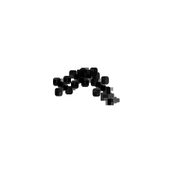 O.O.O.O=S(=O)([O-])[O-].O=S(=O)([O-])[O-].O=S(=O)([O-])[O-].[In+3].[In+3]